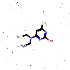 CCN(CC)c1cc(C)nc(O)n1